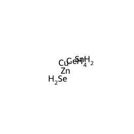 [Cu].[GeH4].[SeH2].[SnH2].[Zn]